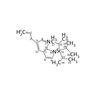 C=CCc1cnc2c(ccn2[Si](C(C)C)(C(C)C)C(C)C)c1